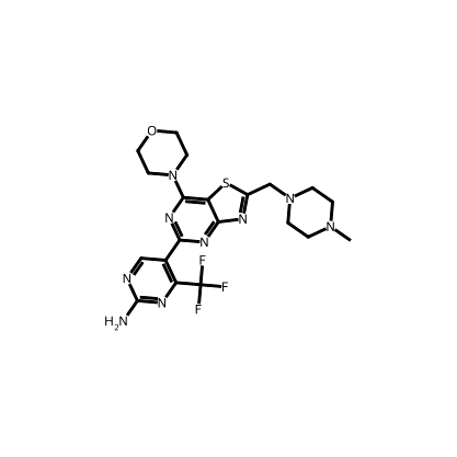 CN1CCN(Cc2nc3nc(-c4cnc(N)nc4C(F)(F)F)nc(N4CCOCC4)c3s2)CC1